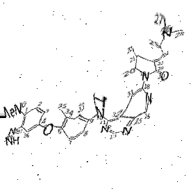 CNc1ccc(Oc2ccc(Nc3ncnc4cnc(N5CC(C)/C(=C\CN(C)C)C5=O)cc34)cc2C)cc1N=N